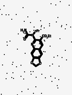 CCCN(C(N)=O)c1nc2cc3c(cc2cc1C(=O)OCC)OCO3